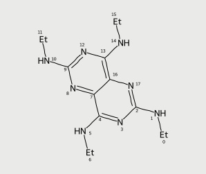 CCNc1nc(NCC)c2nc(NCC)nc(NCC)c2n1